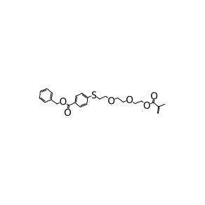 C=C(C)C(=O)OCCOCCOCCSc1ccc(C(=O)OCc2ccccc2)cc1